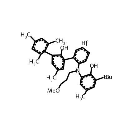 COCCCN(c1ccccc1-c1cc(C)cc(-c2c(C)cc(C)cc2C)c1O)c1cc(C)cc(C(C)(C)C)c1O.[Hf]